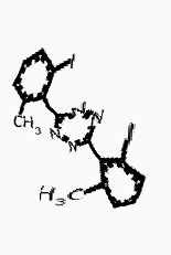 Cc1cccc(I)c1-c1nnc(-c2c(C)cccc2I)nn1